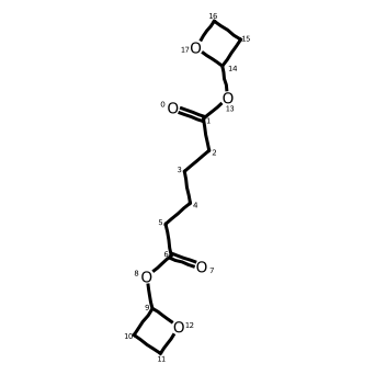 O=C(CCCCC(=O)OC1CCO1)OC1CCO1